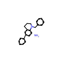 N.c1ccc(CN2CCCc3cc(-c4ccccc4)ccc32)cc1